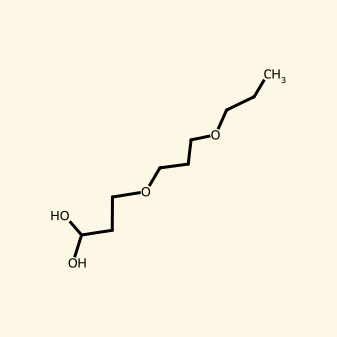 CCCOCCCOCCC(O)O